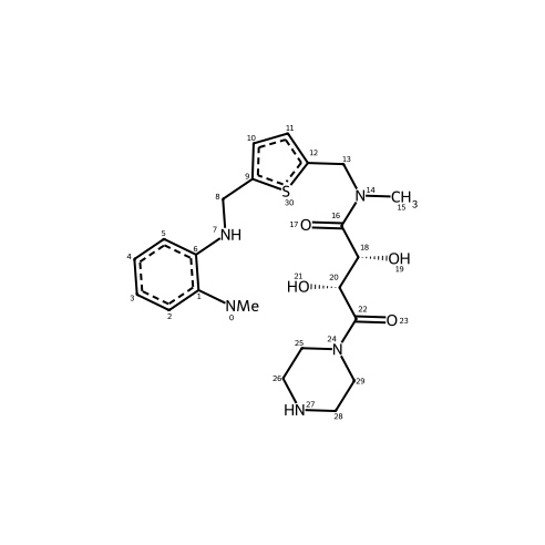 CNc1ccccc1NCc1ccc(CN(C)C(=O)[C@H](O)[C@@H](O)C(=O)N2CCNCC2)s1